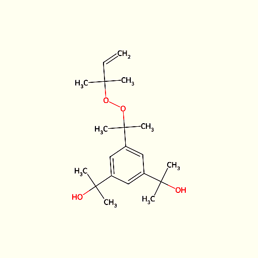 C=CC(C)(C)OOC(C)(C)c1cc(C(C)(C)O)cc(C(C)(C)O)c1